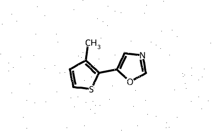 Cc1ccsc1-c1cnco1